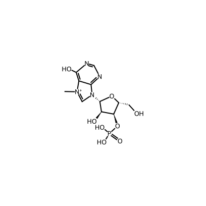 C[n+]1cn([C@@H]2O[C@H](CO)[C@@H](OP(=O)(O)O)[C@H]2O)c2ncnc(O)c21